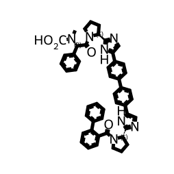 CN(C(=O)O)[C@@H](C(=O)N1CCC[C@H]1c1ncc(-c2ccc(-c3ccc(-c4cnc([C@@H]5CCCN5C(=O)c5ccccc5-c5ccccc5)[nH]4)cc3)cc2)[nH]1)c1ccccc1